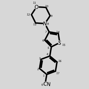 N#Cc1ccc(-c2cc(N3CCOCC3)cs2)cc1